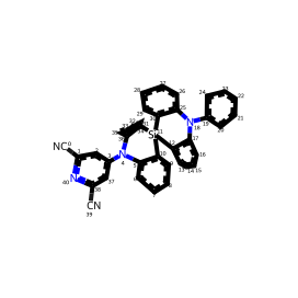 N#Cc1cc(N2c3ccccc3[Si]3(c4ccccc4N(c4ccccc4)c4ccccc43)c3ccccc32)cc(C#N)n1